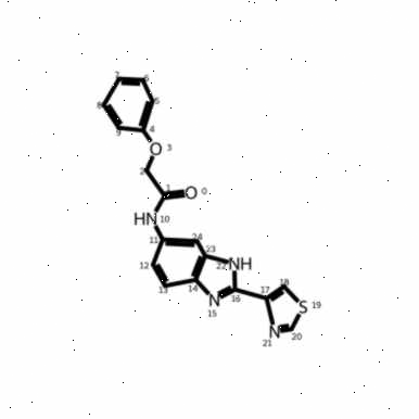 O=C(COc1ccccc1)Nc1ccc2nc(-c3cscn3)[nH]c2c1